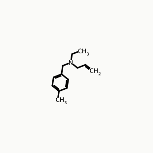 C=CCN(CC)Cc1ccc(C)cc1